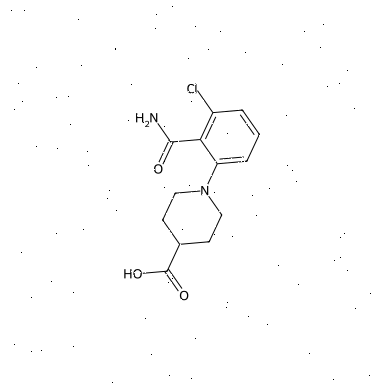 NC(=O)c1c(Cl)cccc1N1CCC(C(=O)O)CC1